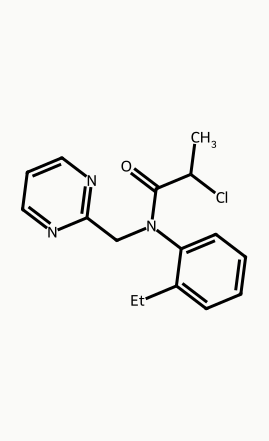 CCc1ccccc1N(Cc1ncccn1)C(=O)C(C)Cl